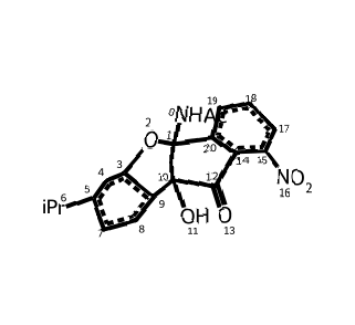 CC(=O)NC12Oc3cc(C(C)C)ccc3C1(O)C(=O)c1c([N+](=O)[O-])cccc12